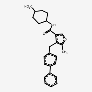 Cc1scc(C(=O)NC2CCC(C(=O)O)CC2)c1Cc1ccc(-c2ccccc2)cc1